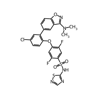 CN(C)c1noc2ccc(-c3cc(Cl)ccc3Oc3cc(F)c(S(=O)(=O)Nc4ncns4)cc3F)cc12